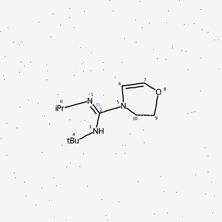 CC(C)/N=C(\NC(C)(C)C)N1C=COCC1